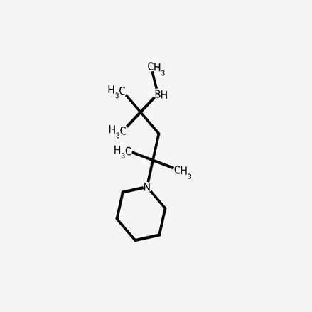 CBC(C)(C)CC(C)(C)N1CCCCC1